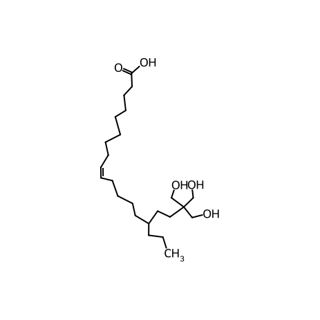 CCCC(CCCC/C=C\CCCCCCCC(=O)O)CCC(CO)(CO)CO